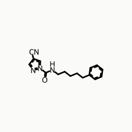 N#Cc1cnn(C(=O)NCCCCCc2ccccc2)c1